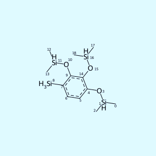 C[SiH](C)Oc1ccc([SiH3])c(O[SiH](C)C)c1O[SiH](C)C